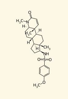 COc1ccc(S(=O)(=O)N[C@H]2CC[C@H]3[C@@H]4CC[C@H]5N(C)C(=O)C=C[C@]5(C)[C@H]4CC[C@]23C)cc1